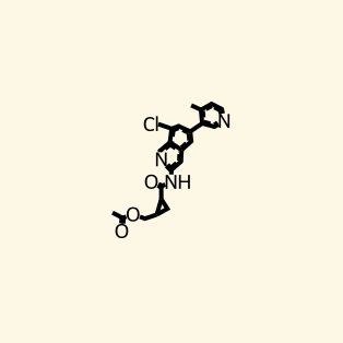 CC(=O)OCC1CC1C(=O)Nc1cc2cc(-c3cnccc3C)cc(Cl)c2cn1